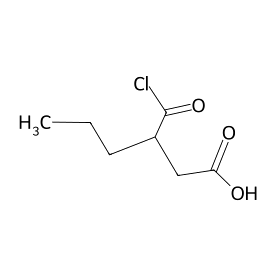 CCCC(CC(=O)O)C(=O)Cl